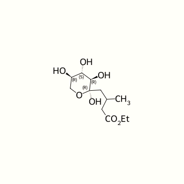 CCOC(=O)CC(C)C[C@@]1(O)OC[C@@H](O)[C@H](O)[C@H]1O